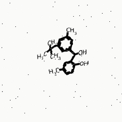 Cc1cc(C(O)c2cc(C)ccc2O)cc(C(C)(C)C)c1